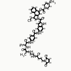 CC(C)C(NC(=O)[C@H](C)NCCNC(=O)CCCN1C(=O)C=CC1=O)C(=O)Nc1ccc(C(=O)Nc2ccc3[nH]c(C(=O)N4C[C@@H](CCl)c5c4cc(OC(=O)N4CCN(C)CC4)c4ccccc54)cc3c2)cc1